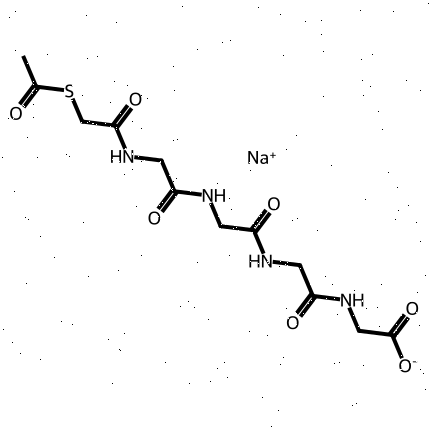 CC(=O)SCC(=O)NCC(=O)NCC(=O)NCC(=O)NCC(=O)[O-].[Na+]